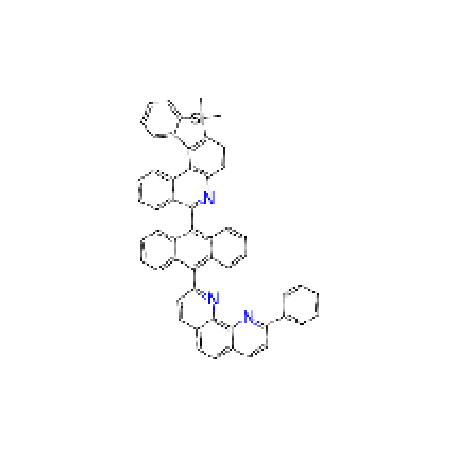 C[Si]1(C)c2ccccc2-c2c1ccc1nc(-c3c4ccccc4c(-c4ccc5ccc6ccc(-c7ccccc7)nc6c5n4)c4ccccc34)c3ccccc3c21